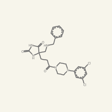 O=C1NC(=O)C(CCC(=O)N2CCN(c3cc(Cl)cc(Cl)c3)CC2)(CNCc2ccccc2)N1